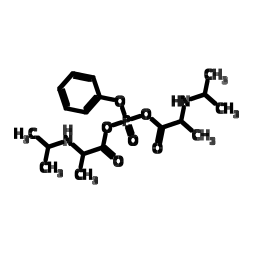 CC(C)NC(C)C(=O)OP(=O)(OC(=O)C(C)NC(C)C)Oc1ccccc1